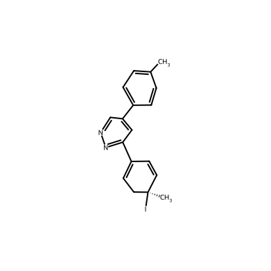 Cc1ccc(-c2cnnc(C3=CC[C@](C)(I)C=C3)c2)cc1